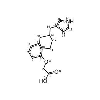 O=C(O)COc1cccc2c1CCC(Cc1c[nH]cn1)C2